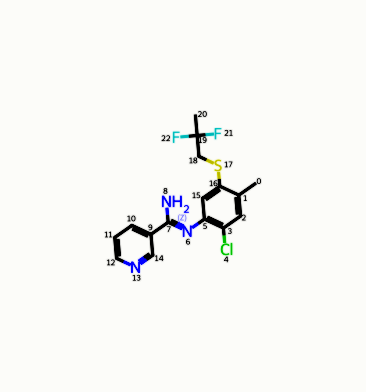 Cc1cc(Cl)c(/N=C(\N)c2cccnc2)cc1SCC(C)(F)F